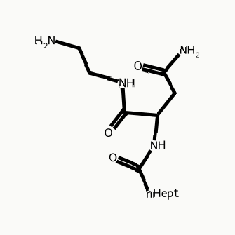 CCCCCCCC(=O)NC(CC(N)=O)C(=O)NCCN